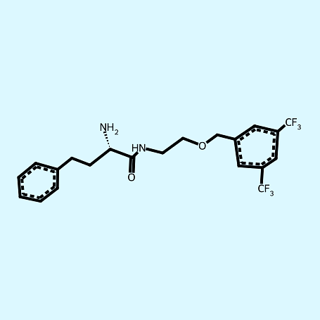 N[C@@H](CCc1ccccc1)C(=O)NCCOCc1cc(C(F)(F)F)cc(C(F)(F)F)c1